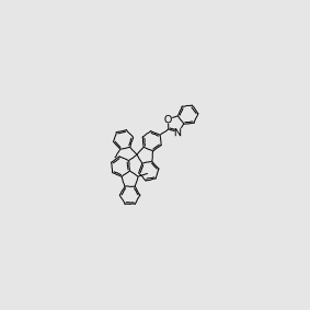 Cc1ccccc1C1(c2cccc3c2C(C)c2ccccc2-3)c2ccccc2-c2cc(-c3nc4ccccc4o3)ccc21